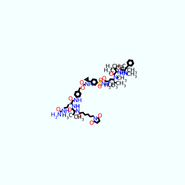 CN[C@H](C(=O)NC(C(=O)N(C)[C@H](/C=C(\C)C(=O)NS(=O)(=O)c1ccc(C2(NC(=O)OCc3ccc(NC(=O)[C@@H](CCCNC(N)=O)NC(=O)[C@H](NC(=O)CCCCCN4C(=O)C=CC4=O)C(C)C)cc3)CC2)cc1)C(C)C)C(C)(C)C)C(C)(C)c1ccccc1